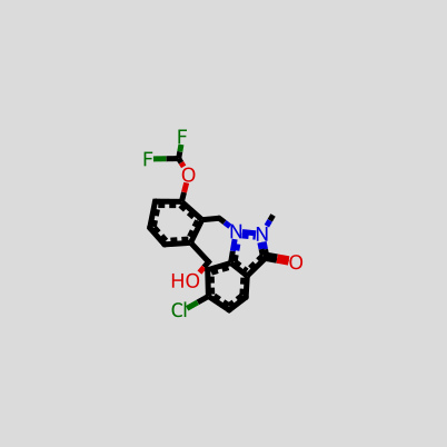 Cn1c(=O)c2ccc(Cl)cc2n1Cc1c(CO)cccc1OC(F)F